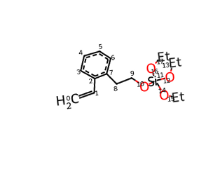 C=Cc1ccccc1CCO[Si](OCC)(OCC)OCC